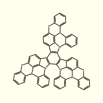 c1ccc2c(c1)Sc1ccc3c4c5c6ccc7c8c6n(c5c5c(c6ccc9c%10c6n5-c5ccccc5B%10c5ccccc5S9)c4n4c3c1B2c1ccccc1-4)-c1ccccc1B8c1ccccc1S7